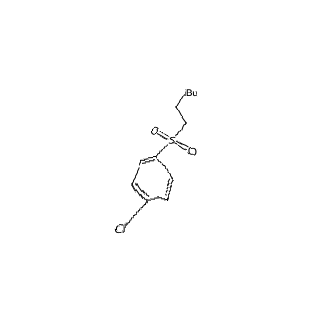 [CH2]C(CC)CCS(=O)(=O)c1ccc(Cl)cc1